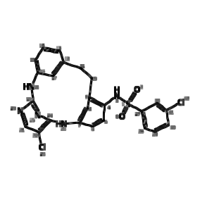 O=S(=O)(Nc1ccc2cc1CCc1cccc(c1)Nc1ncc(Cl)c(n1)N2)c1cccc(Cl)c1